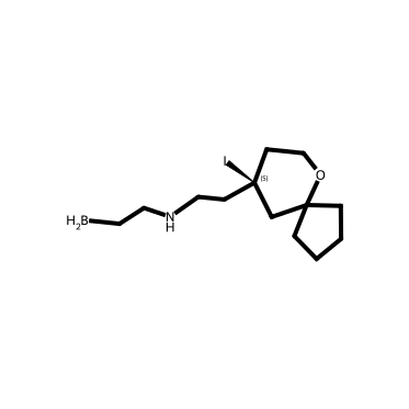 BCCNCC[C@]1(I)CCOC2(CCCC2)C1